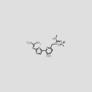 CN/C(=N/S(C)(=O)=O)NCc1cccc(-c2csc(N=C(N)N)n2)n1.Cl